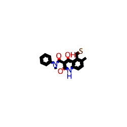 Cc1ccc2[nH]c(=O)c(C(=O)N(C)c3ccccc3)c(O)c2c1C=S